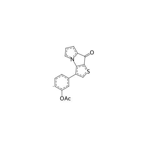 CC(=O)Oc1[c]ccc(-c2csc3c2-n2cccc2C3=O)c1